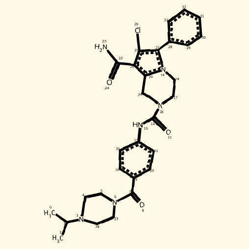 CC(C)N1CCN(C(=O)c2ccc(NC(=O)N3CCn4c(c(C(N)=O)c(Cl)c4-c4ccccc4)C3)cc2)CC1